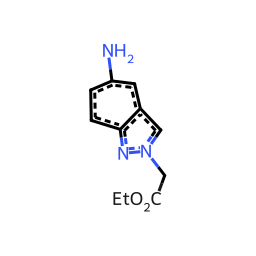 CCOC(=O)Cn1cc2cc(N)ccc2n1